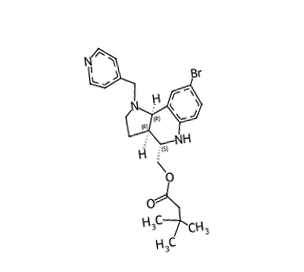 CC(C)(C)CC(=O)OC[C@H]1Nc2ccc(Br)cc2[C@H]2[C@@H]1CCN2Cc1ccncc1